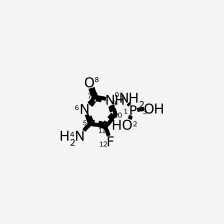 NP(O)O.Nc1nc(=O)[nH]cc1F